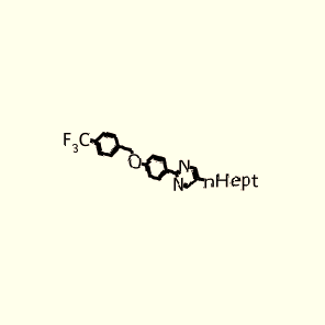 CCCCCCCc1cnc(-c2ccc(OCc3ccc(C(F)(F)F)cc3)cc2)nc1